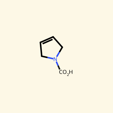 O=C(O)N1CC=CC1